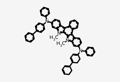 Cn1c2cc(N(C3=CC=C(C4=CC=CCC4)CC3)c3ccccc3)ccc2c2c3ccccc3c3c4ccc(N(c5ccccc5)c5ccc(-c6ccccc6)cc5)cc4n(C)c3c21